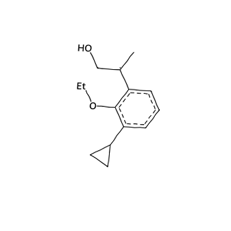 CCOc1c([C](C)CO)cccc1C1CC1